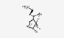 CCC(C=CC(=O)O)C1CNC(C#N)C1(F)F